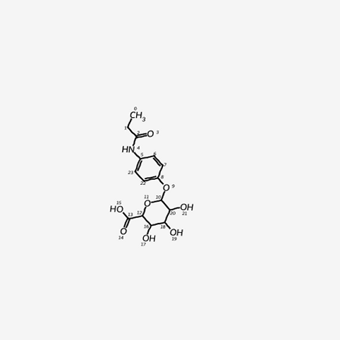 CCC(=O)Nc1ccc(OC2OC(C(=O)O)C(O)C(O)C2O)cc1